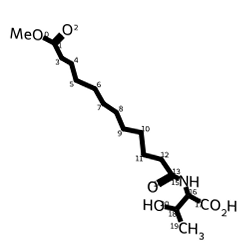 COC(=O)CCCCCCCCCCC(=O)NC(C(=O)O)C(C)O